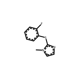 Cn1ccnc1Sc1cc[c]cc1F